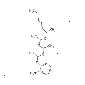 CCCCOC(C)OC(C)OC(C)OC(C)Oc1ccccc1N